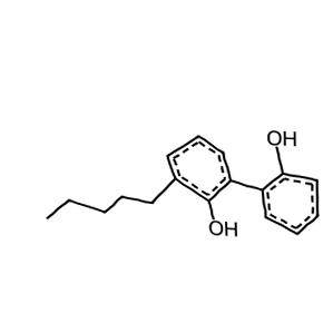 CCCCCc1cccc(-c2ccccc2O)c1O